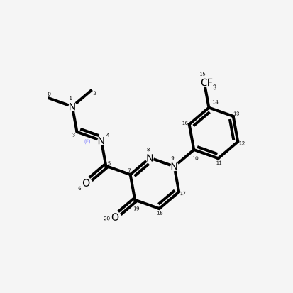 CN(C)/C=N/C(=O)c1nn(-c2cccc(C(F)(F)F)c2)ccc1=O